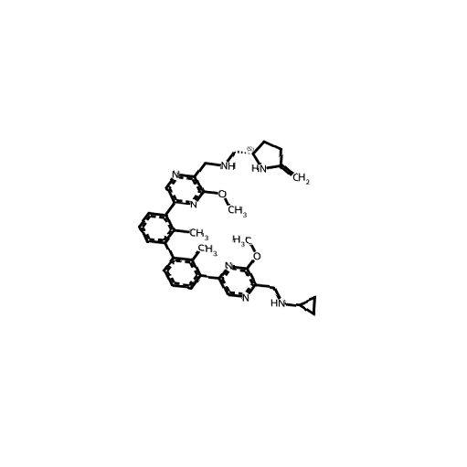 C=C1CC[C@@H](CNCc2ncc(-c3cccc(-c4cccc(-c5cnc(CNC6CC6)c(OC)n5)c4C)c3C)nc2OC)N1